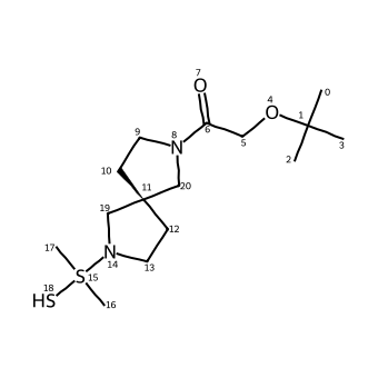 CC(C)(C)OCC(=O)N1CC[C@]2(CCN(S(C)(C)S)C2)C1